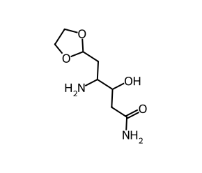 NC(=O)CC(O)C(N)CC1OCCO1